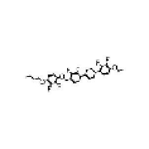 CCCCOc1ccc(OCC2=CCC(C3=CCC(c4ccc(OCC)c(F)c4F)CC3)C(F)=C2F)c(F)c1F